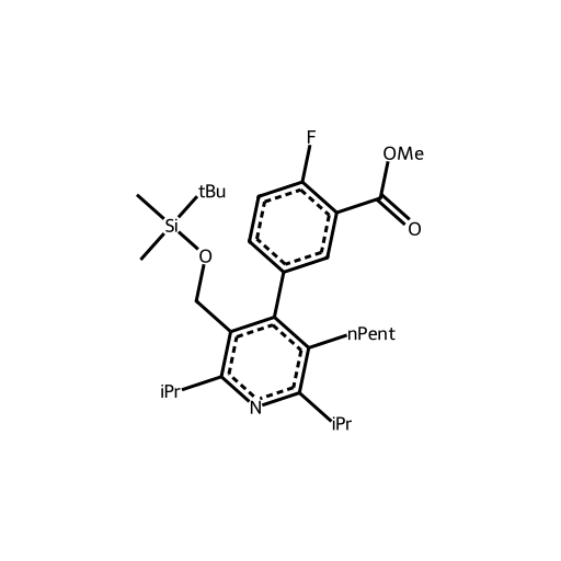 CCCCCc1c(C(C)C)nc(C(C)C)c(CO[Si](C)(C)C(C)(C)C)c1-c1ccc(F)c(C(=O)OC)c1